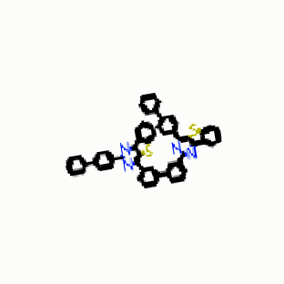 c1ccc(-c2ccc(-c3nc(-c4cccc(-c5cccc(-c6nc(-c7ccc(-c8ccccc8)cc7)c7sc8ccccc8c7n6)c5)c4)c4sc5ccccc5c4n3)cc2)cc1